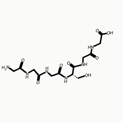 NCC(=O)NCC(=O)NCC(=O)N[C@@H](CO)C(=O)NCC(=O)NCC(=O)O